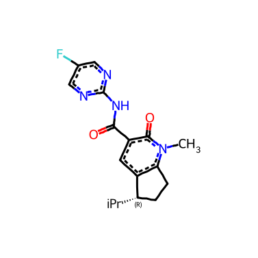 CC(C)[C@H]1CCc2c1cc(C(=O)Nc1ncc(F)cn1)c(=O)n2C